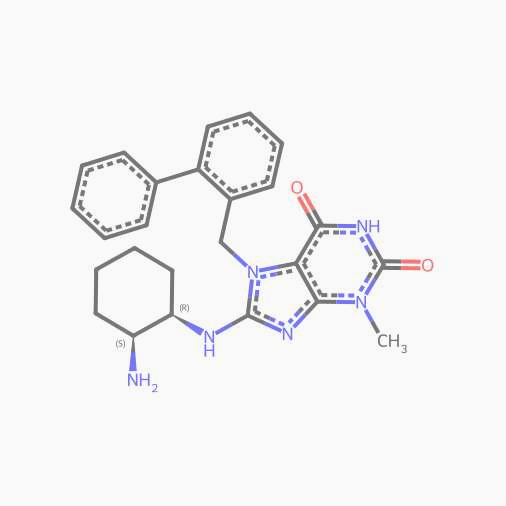 Cn1c(=O)[nH]c(=O)c2c1nc(N[C@@H]1CCCC[C@@H]1N)n2Cc1ccccc1-c1ccccc1